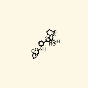 O=C(C[C@]1(c2ccc(-c3cccc(NC(=O)CN4CCCC4=O)c3)s2)CCCCS1(=O)=O)NO